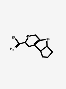 C=C(CC)C1CC2=C(CN1)NC1CCCC21